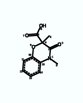 CN1C(=O)C(C)(C(=O)O)Oc2ccccc21